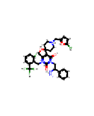 NC(Cn1c(=O)c2c(n(Cc3c(F)cccc3C(F)(F)F)c1=O)COC21CCN(Cc2ccc(Br)o2)CC1)c1ccccc1